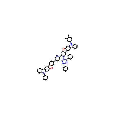 CC1CCC(n2c3c(c4ccccc42)CC2C(=C3)OC3CC(C4N=CC(C5=CCC6C(=C5)OC5CC7=C(CC56)C5CCC=CC5N7c5ccccc5)=CC4C4=NC(c5ccccc5)=NC(c5ccccc5)N4)CC=C32)CC1C